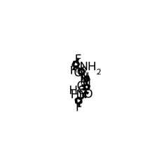 N[C@H]1C[C@@H](n2ccc(N3CCC(O)(C(=O)NCc4cccc(F)c4)C3=O)n2)CO[C@@H]1c1cc(F)ccc1F